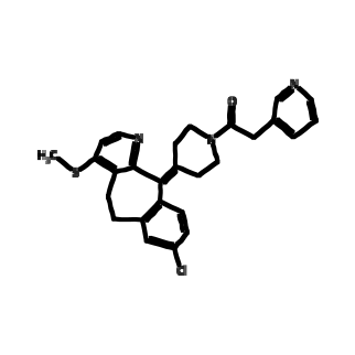 CSc1ccnc2c1CCc1cc(Cl)ccc1C2=C1CCN(C(=O)Cc2cccnc2)CC1